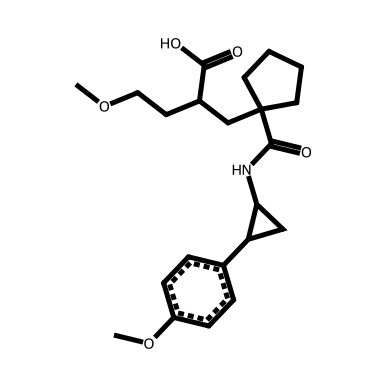 COCCC(CC1(C(=O)NC2CC2c2ccc(OC)cc2)CCCC1)C(=O)O